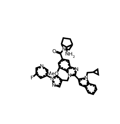 COc1cc(C(=O)N2CC3CCC2C3N)cc2nc(-c3cc4ccccc4n3CC3CC3)n(Cc3cnn(-c4cncc(F)c4)c3)c12